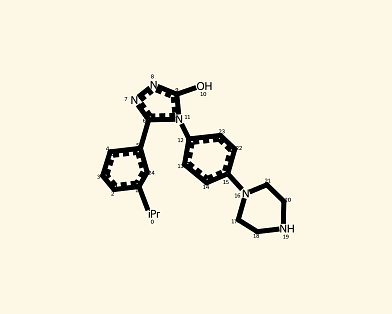 CC(C)c1cccc(-c2nnc(O)n2-c2ccc(N3CCNCC3)cc2)c1